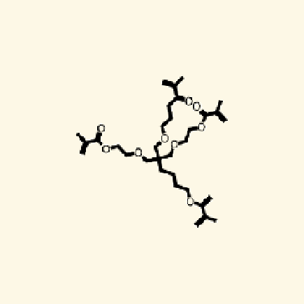 C=C(C)C(=C)OCCCCC(COCCCC(=O)C(=C)C)(COCCOC(=O)C(=C)C)COCCOC(=O)C(=C)C